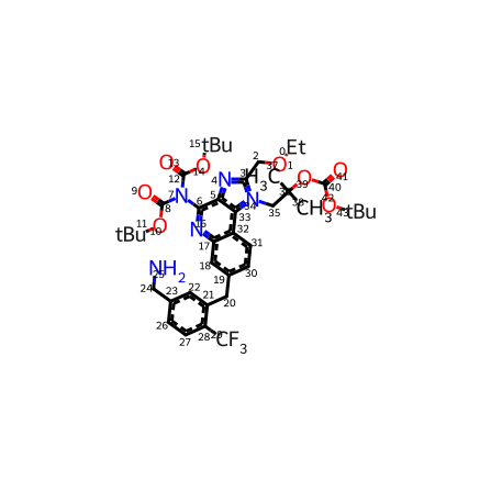 CCOCc1nc2c(N(C(=O)OC(C)(C)C)C(=O)OC(C)(C)C)nc3cc(Cc4cc(CN)ccc4C(F)(F)F)ccc3c2n1CC(C)(C)OC(=O)OC(C)(C)C